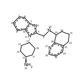 CN(Cc1nc2ccccc2n1[C@H]1CC[C@H](N)CC1)C1CCCc2cccnc21